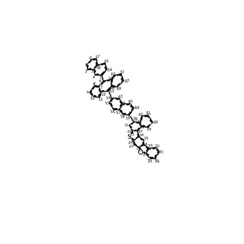 c1ccc2cc(-c3c4ccccc4c(-c4ccc5cc(-c6cc7sc8cc9oc%10ccccc%10c9cc8c7c7ccccc67)ccc5c4)c4ccccc34)ccc2c1